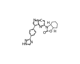 O=C1O[C@@H]2CCCC[C@@H]2N1c1ccn2ncc(-c3ccc(-c4nc[nH]n4)cc3)c2n1